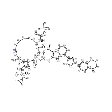 CC(C)n1c(O[C@@H]2C[C@H]3C(=O)N[C@]4(C(=O)NS(=O)(=O)C5(C)CC5)C[C@H]4/C=C\CCCCC[C@H](NC(=O)OC(C)(C)C)C(=O)N3C2)nc2c(-c3nc(-c4ccc5c(c4)OCCO5)cs3)cccc21